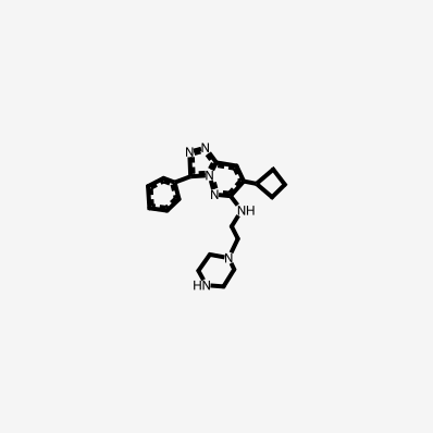 c1ccc(-c2nnc3cc(C4CCC4)c(NCCN4CCNCC4)nn23)cc1